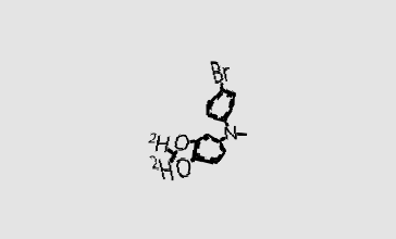 [2H]C1([2H])Oc2ccc(N(C)c3ccc(Br)cc3)cc2O1